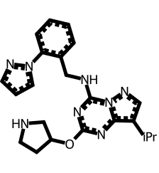 CC(C)c1cnn2c(NCc3ccccc3-n3cccn3)nc(OC3CCNC3)nc12